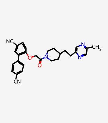 Cc1cnc(CCC2CCN(C(=O)COc3ccc(C#N)cc3-c3ccc(C#N)cc3)CC2)cn1